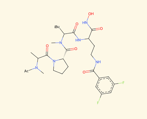 CCC(C)C(C(=O)NC(CCNC(=O)c1cc(F)cc(F)c1)C(=O)NO)N(C)C(=O)[C@@H]1CCCN1C(=O)C(C)N(C)C(C)=O